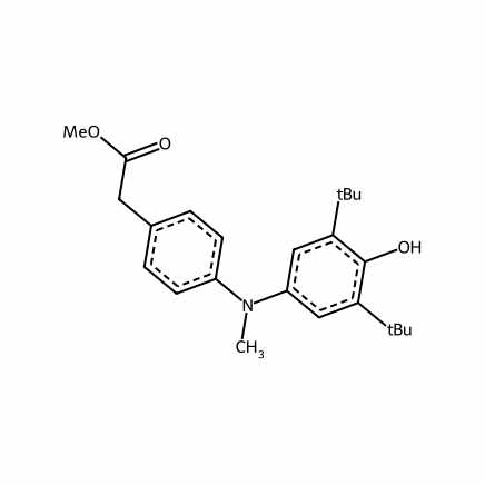 COC(=O)Cc1ccc(N(C)c2cc(C(C)(C)C)c(O)c(C(C)(C)C)c2)cc1